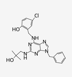 CC(C)(O)CNc1nc(NCc2cc(Cl)ccc2O)c2ncn(Cc3ccccc3)c2n1